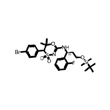 CC1(C)OC(N[C@@H](CCO[Si](C)(C)C(C)(C)C)c2ccccc2F)=NS(=O)(=O)C1c1ccc(Br)cc1